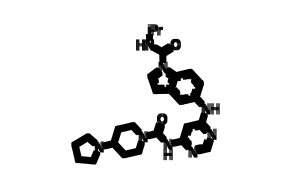 CC(C)NC(=O)n1ccc2cc(Nc3cc(NC(=O)N4CCC(N5CCCC5)CC4)ncn3)ccc21